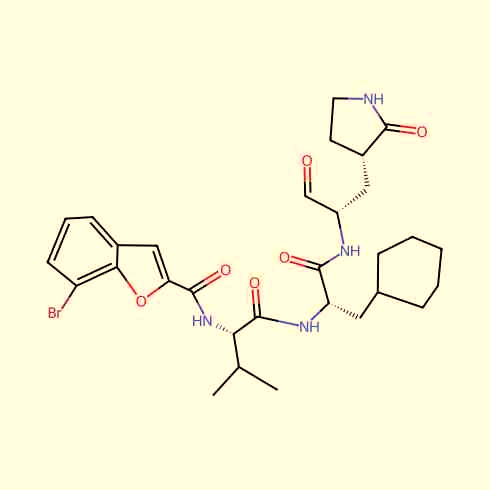 CC(C)[C@H](NC(=O)c1cc2cccc(Br)c2o1)C(=O)N[C@@H](CC1CCCCC1)C(=O)N[C@H](C=O)C[C@@H]1CCNC1=O